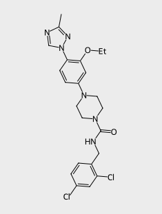 CCOc1cc(N2CCN(C(=O)NCc3ccc(Cl)cc3Cl)CC2)ccc1-n1cnc(C)n1